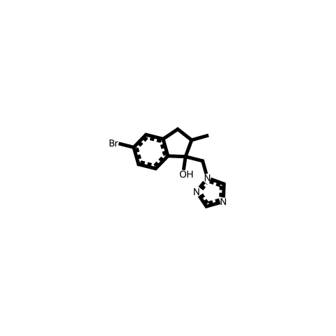 CC1Cc2cc(Br)ccc2C1(O)Cn1cncn1